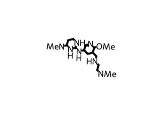 CNCCNCC1CC(NC2NCCC(NC)N2)C=NC1OC